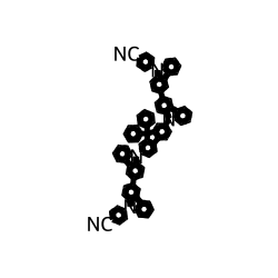 N#Cc1ccc(-n2c3ccccc3c3cc(-c4ccc5c(c4)c4ccccc4n5-c4ccc5c(c4)C(c4ccccc4)(c4ccccc4)c4cc(-n6c7ccccc7c7cc(-c8ccc9c(c8)c8ccccc8n9-c8ccc(C#N)cc8)ccc76)ccc4-5)ccc32)cc1